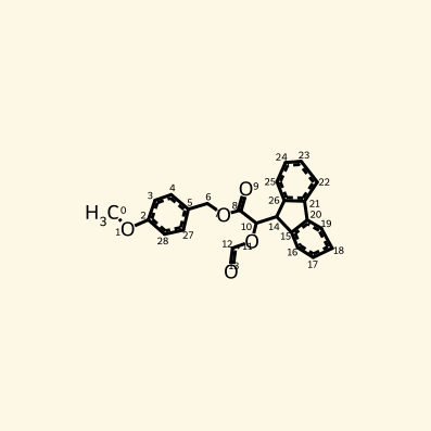 COc1ccc(COC(=O)C(O[C]=O)C2c3ccccc3-c3ccccc32)cc1